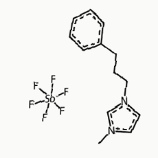 C[n+]1ccn(CCCc2ccccc2)c1.[F][Sb-]([F])([F])([F])([F])[F]